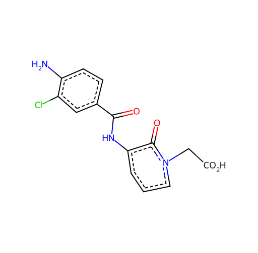 Nc1ccc(C(=O)Nc2cccn(CC(=O)O)c2=O)cc1Cl